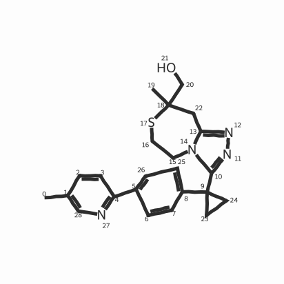 Cc1ccc(-c2ccc(C3(c4nnc5n4CCSC(C)(CO)C5)CC3)cc2)nc1